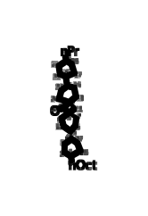 CCCCCCCCC1CCC([C@H]2CC[C@]3(CC2)C[C@@]2(CCC(C4CCC(CCC)CC4)CC2)C3=O)CC1